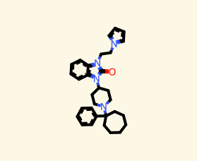 O=c1n(CCn2cccc2)c2ccccc2n1C1CCN(C2(c3ccccc3)CCCCCC2)CC1